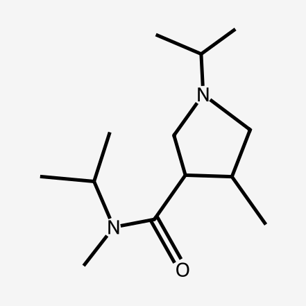 CC1CN(C(C)C)CC1C(=O)N(C)C(C)C